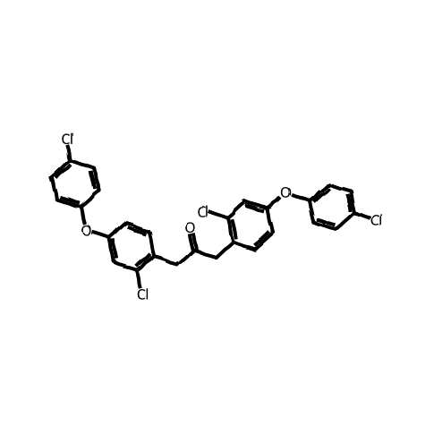 O=C(Cc1ccc(Oc2ccc(Cl)cc2)cc1Cl)Cc1ccc(Oc2ccc(Cl)cc2)cc1Cl